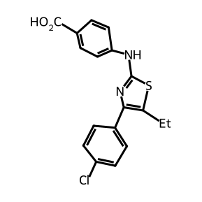 CCc1sc(Nc2ccc(C(=O)O)cc2)nc1-c1ccc(Cl)cc1